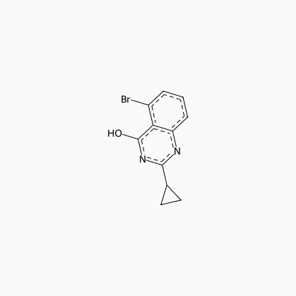 Oc1nc(C2CC2)nc2cccc(Br)c12